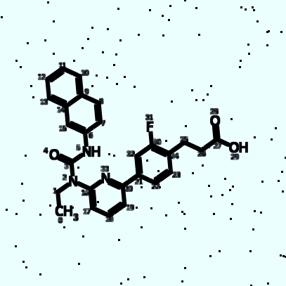 CCN(C(=O)Nc1ccc2ccccc2c1)c1cccc(-c2ccc(CCC(=O)O)c(F)c2)n1